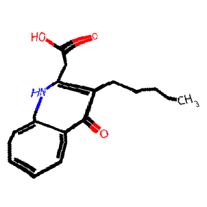 CCCCc1c(C(=O)O)[nH]c2ccccc2c1=O